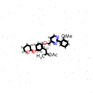 COc1ccccc1-c1nccc(COc2ccc(OC3CCCCO3)cc2CC(C)OC(C)=O)n1